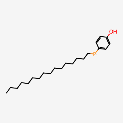 CCCCCCCCCCCCCCCC[P]c1ccc(O)cc1